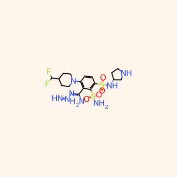 N=N/N=C(\N)c1c(N2CCC(C(F)F)CC2)ccc(S(=O)(=O)N[C@@H]2CCNC2)c1S(N)(=O)=O